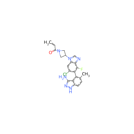 C=CC(=O)N1CC(n2cnc3c(F)c(-c4c(C)ccc5[nH]nc(N)c45)c(Cl)cc32)C1